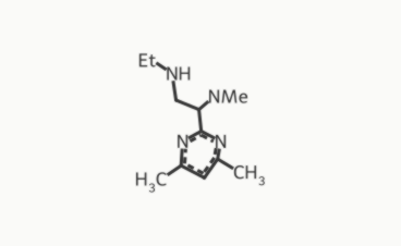 CCNCC(NC)c1nc(C)cc(C)n1